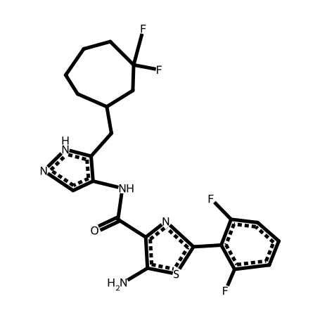 Nc1sc(-c2c(F)cccc2F)nc1C(=O)Nc1cn[nH]c1CC1CCCCC(F)(F)C1